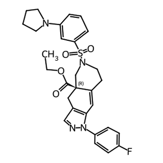 CCOC(=O)[C@]12Cc3cnn(-c4ccc(F)cc4)c3C=C1CCN(S(=O)(=O)c1cccc(N3CCCC3)c1)C2